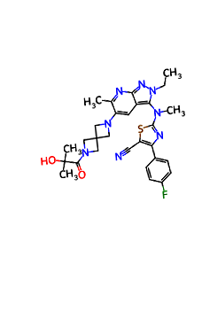 CCn1nc2nc(C)c(N3CC4(CN(C(=O)C(C)(C)O)C4)C3)cc2c1N(C)c1nc(-c2ccc(F)cc2)c(C#N)s1